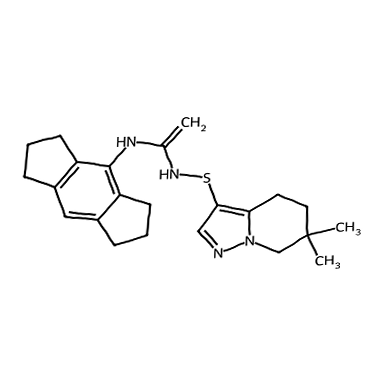 C=C(NSc1cnn2c1CCC(C)(C)C2)Nc1c2c(cc3c1CCC3)CCC2